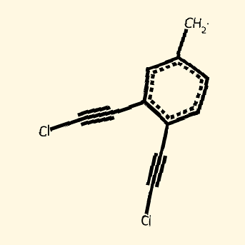 [CH2]c1ccc(C#CCl)c(C#CCl)c1